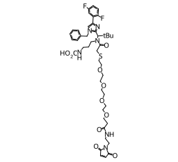 CC(C)(C)C(c1nc(-c2cc(F)ccc2F)cn1Cc1ccccc1)N(CCCNC(=O)O)C(=O)CSCCOCCOCCOCCOCCC(=O)NCCN1C(=O)C=CC1=O